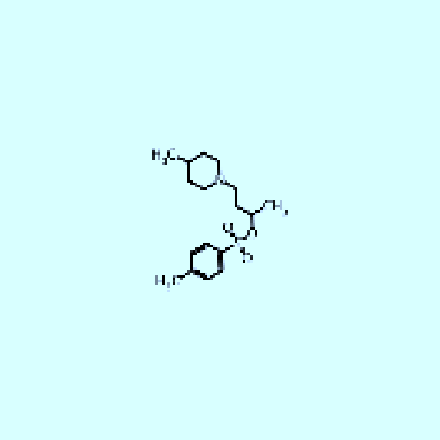 Cc1ccc(S(=O)(=O)OC(C)CCN2CCC(C)CC2)cc1